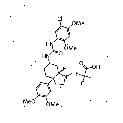 COc1cc(OC)c(NC(=O)N[C@@H]2CC[C@@]3(c4ccc(OC)c(OC)c4)CCN(C)[C@H]3C2)cc1Cl.O=C(O)C(F)(F)F